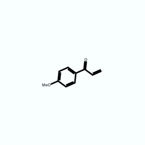 [CH]=CC(=O)c1ccc(OC)cc1